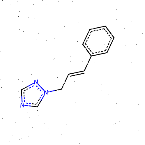 C(=Cc1ccccc1)Cn1cncn1